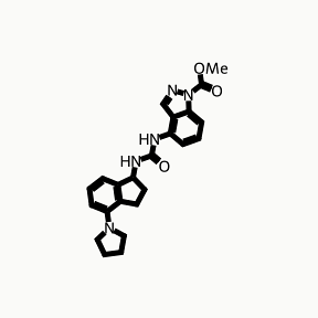 COC(=O)n1ncc2c(NC(=O)NC3CCc4c3cccc4N3CCCC3)cccc21